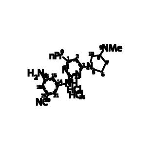 CCCc1cc(N2CCCC(NC)C2)nc(Nc2cc(N)cc(C#N)c2)n1.Cl.Cl